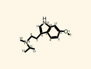 COc1ccc2c(CCN(C)C(C)C)c[nH]c2c1